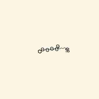 O=C(CCCCC1CCSS1)OCCOCCOCCOc1ccccc1